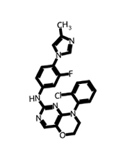 Cc1cn(-c2ccc(Nc3ncc4c(n3)N(c3ccccc3Cl)CCO4)cc2F)cn1